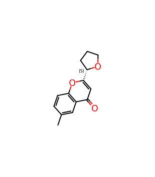 Cc1ccc2oc([C@@H]3CCCO3)cc(=O)c2c1